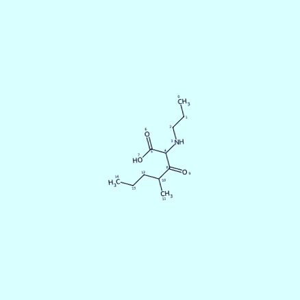 CCCNC(C(=O)O)C(=O)C(C)CCC